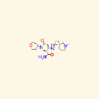 CN1CCCC2(CCC2Nc2cc(=O)n(C3CCOCC3)cc2C(N)=O)C1